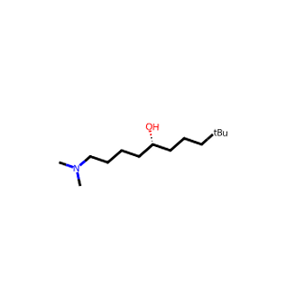 CN(C)CCCC[C@H](O)CCCC(C)(C)C